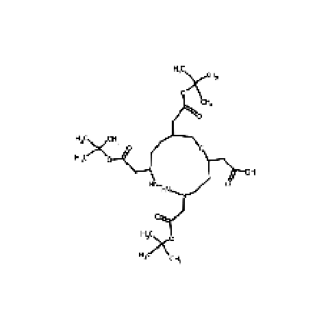 CC(C)(C)OC(=O)CC1CCC(CC(=O)O)CCN(CC(=O)OC(C)(C)C)NNN(CC(=O)OC(C)(C)C)CC1